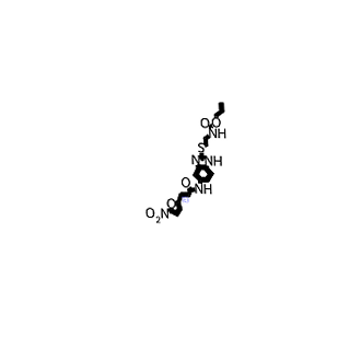 C=CCOC(=O)NCCSc1nc2cc(NC(=O)/C=C/c3ccc([N+](=O)[O-])o3)ccc2[nH]1